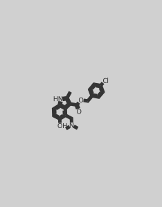 Cc1[nH]c2ccc(O)c(CN(C)C)c2c1C(=O)OCc1ccc(Cl)cc1